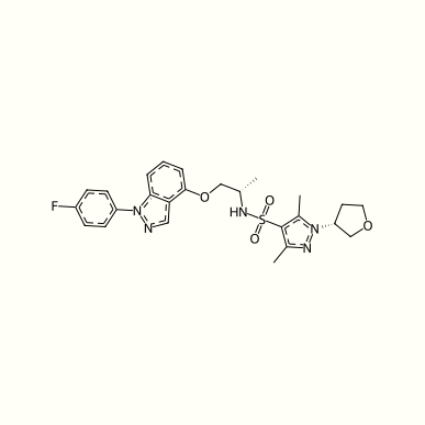 Cc1nn([C@@H]2CCOC2)c(C)c1S(=O)(=O)N[C@@H](C)COc1cccc2c1cnn2-c1ccc(F)cc1